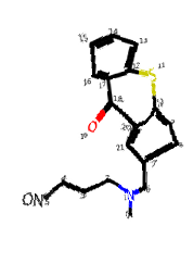 CN(CCCN=O)Cc1ccc2sc3ccccc3c(=O)c2c1